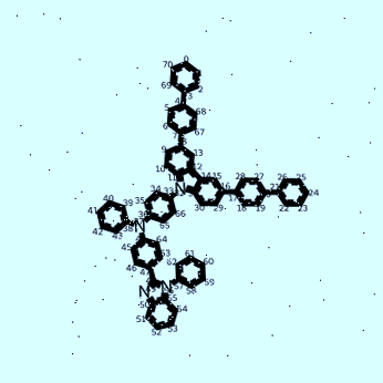 c1ccc(-c2ccc(-c3ccc4c(c3)c3cc(-c5ccc(-c6ccccc6)cc5)ccc3n4-c3ccc(N(c4ccccc4)c4ccc(-c5nc6ccccc6n5-c5ccccc5)cc4)cc3)cc2)cc1